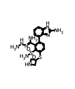 NN/N=C(\N)c1c(-c2cccc3[nH]c(N)nc23)ccc(SC2CNC2)c1S(N)(=O)=O